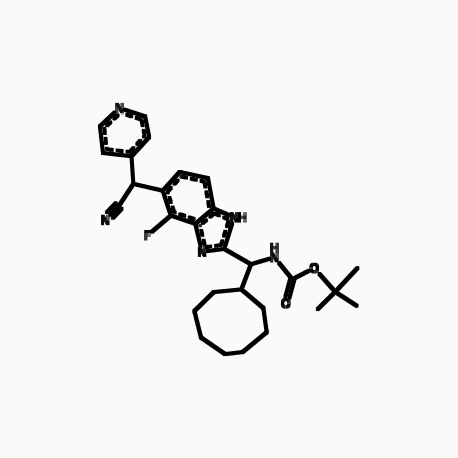 CC(C)(C)OC(=O)NC(c1nc2c(F)c(C(C#N)c3ccncc3)ccc2[nH]1)C1CCCCCCC1